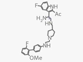 COc1cccc(F)c1-c1ccc(NCCN2CCC(CN/C=C(\N)c3c(C(C)=O)[nH]c4ccc(F)cc34)CC2)cc1